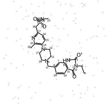 CCn1c(=O)[nH]c2cc(CN3CCN(c4ccc(CS(=O)(=O)NC)nc4C)CC3)ccc2c1=O